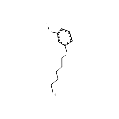 CCCCOc1cccc(OCCCCCO)c1